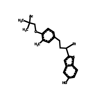 CCC(CCc1ccc(OCC(C)(C)C(C)=O)c(C)c1)c1cc2cc(O)ccc2s1